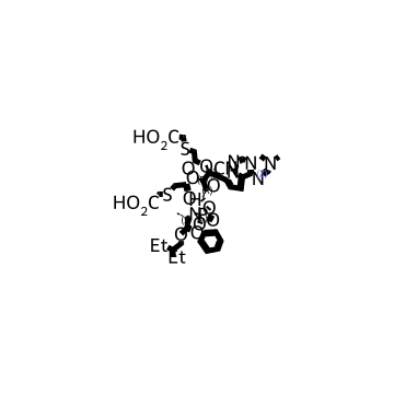 CCC(CC)COC(=O)[C@H](C)N[P@](=O)(OC[C@H]1O[C@@](C#N)(c2ccc3c(/N=C\N(C)C)ncnn23)[C@H](OC(=O)CSCC(=O)O)[C@@H]1OC(=O)CSCC(=O)O)Oc1ccccc1